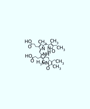 CCC1=C(C)[C@H](CC2=N/C(=C\c3[nH]c(C[C@@H]4NC(=O)C(C)=C4CC)c(C)c3CCC(=O)O)C(CCC(=O)O)=C2C)NC1=O